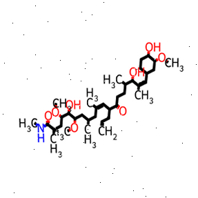 C=CCC(C=C(C)CC(C)CC(OC)C(O)C(CC(C)C(=O)NC)OC)C(=O)CCC(C)C(O)C(C)=CC1CCC(O)C(OC)C1